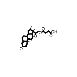 C[C@@H]1CC2C3CCC4=CC(=O)C=C[C@]4(C)C3=CC[C@]2(C)[C@@]1(C)C(=O)COC(=O)CCC(=O)O